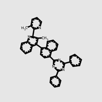 Cc1cccnc1-c1nc2ccccc2c(-c2ccc(-c3nc(-c4ccccc4)nc(-c4ccccc4)n3)c3ccccc23)c1C